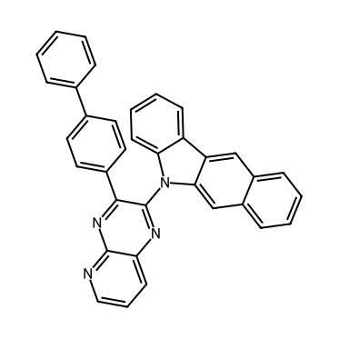 c1ccc(-c2ccc(-c3nc4ncccc4nc3-n3c4ccccc4c4cc5ccccc5cc43)cc2)cc1